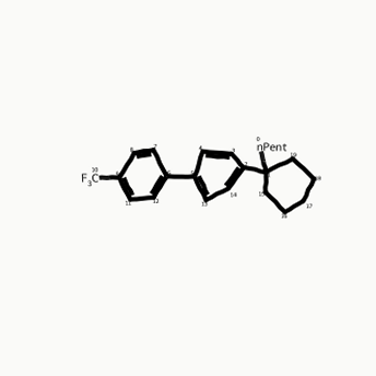 CCCCCC1(c2ccc(-c3ccc(C(F)(F)F)cc3)cc2)CCCCC1